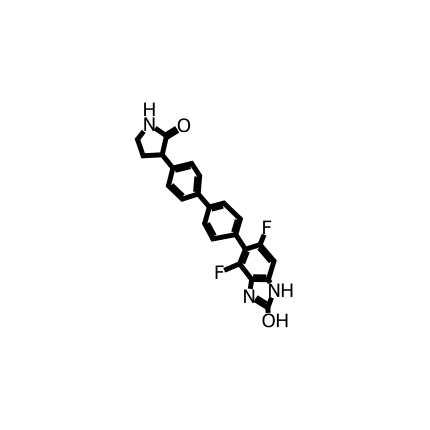 O=C1NCCC1c1ccc(-c2ccc(-c3c(F)cc4[nH]c(O)nc4c3F)cc2)cc1